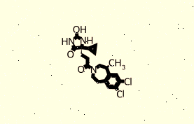 C[C@@H]1CN(C(=O)CC[C@@]2(C3CC3)NC(O)NC2=O)CCc2cc(Cl)c(Cl)cc21